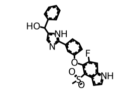 CS(=O)(=O)c1c(Oc2cccc(-c3ncc(C(O)c4ccccc4)[nH]3)c2)c(F)cc2[nH]ccc12